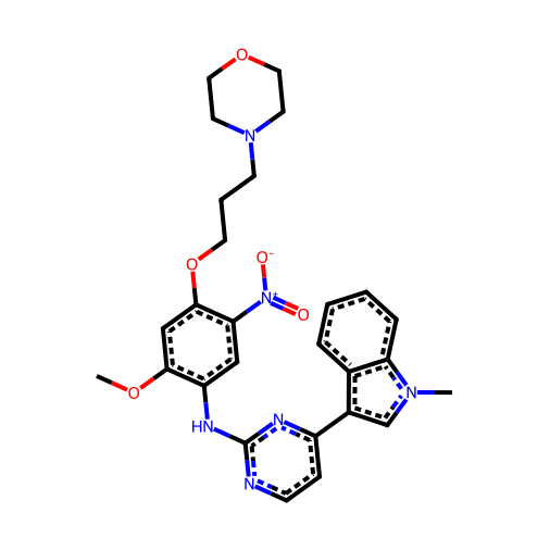 COc1cc(OCCCN2CCOCC2)c([N+](=O)[O-])cc1Nc1nccc(-c2cn(C)c3ccccc23)n1